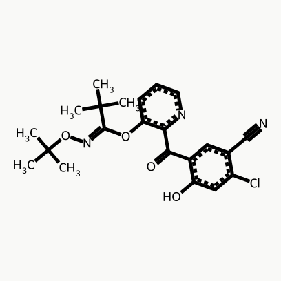 CC(C)(C)ON=C(Oc1cccnc1C(=O)c1cc(C#N)c(Cl)cc1O)C(C)(C)C